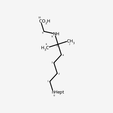 CCCCCCCCCCCC(C)(C)NCC(=O)O